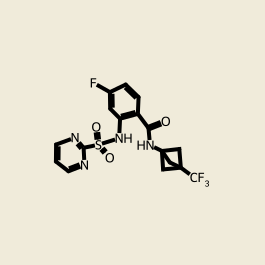 O=C(NC12CC(C(F)(F)F)(C1)C2)c1ccc(F)cc1NS(=O)(=O)c1ncccn1